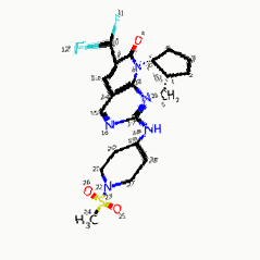 C[C@H]1CCC[C@H]1n1c(=O)c(C(F)F)cc2cnc(NC3CCN(S(C)(=O)=O)CC3)nc21